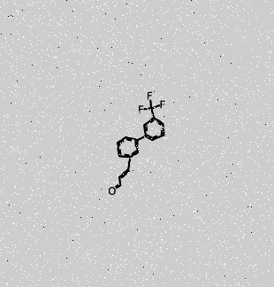 O=CC=Cc1cccc(-c2cccc(C(F)(F)F)c2)c1